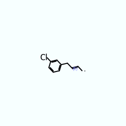 [CH2]/C=C/Cc1cccc(Cl)c1